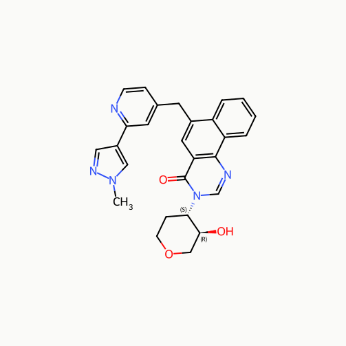 Cn1cc(-c2cc(Cc3cc4c(=O)n([C@H]5CCOC[C@@H]5O)cnc4c4ccccc34)ccn2)cn1